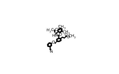 COC(=O)CCc1ccc(COc2cccc(C#N)c2)cc1C(=O)N[C@H](CC(C)C)c1cc(C)cc(C)c1